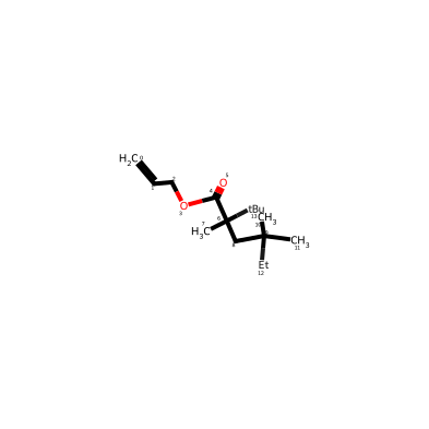 C=CCOC(=O)C(C)(CC(C)(C)CC)C(C)(C)C